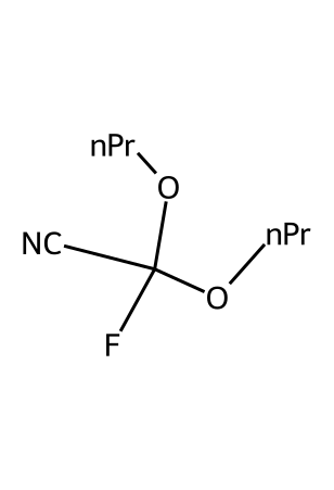 CCCOC(F)(C#N)OCCC